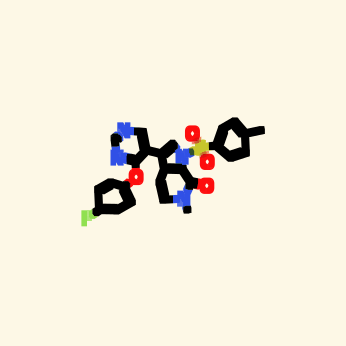 Cc1ccc(S(=O)(=O)n2cc(-c3cncnc3Oc3ccc(F)cc3)c3ccn(C)c(=O)c32)cc1